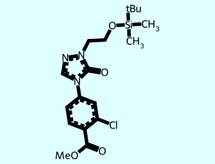 COC(=O)c1ccc(-n2cnn(CCO[Si](C)(C)C(C)(C)C)c2=O)cc1Cl